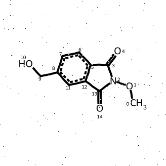 CON1C(=O)c2ccc(CO)cc2C1=O